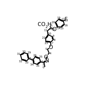 CC(=NOCCOc1ccc(C[C@H](Oc2ccc(F)cc2)C(=O)O)cc1)c1ccc(-c2ccccc2)cc1